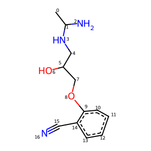 CC(N)NCC(O)COc1ccccc1C#N